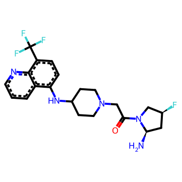 N[C@@H]1C[C@H](F)CN1C(=O)CN1CCC(Nc2ccc(C(F)(F)F)c3ncccc23)CC1